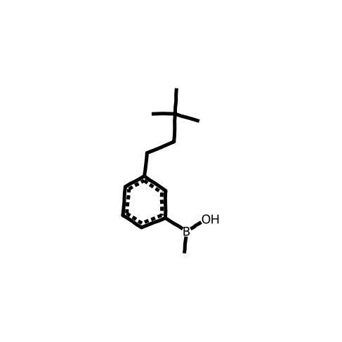 CB(O)c1cccc(CCC(C)(C)C)c1